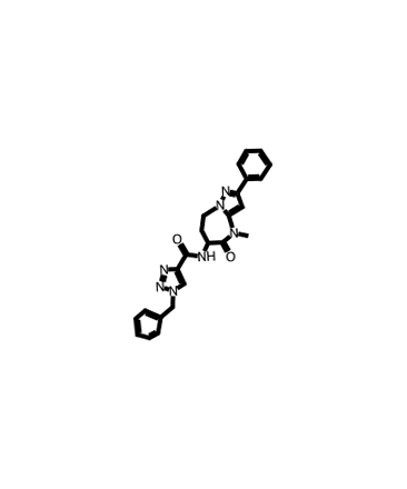 CN1C(=O)C(NC(=O)c2cn(Cc3ccccc3)nn2)CCn2nc(-c3ccccc3)cc21